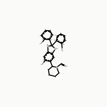 O=CN1CCCCC1c1cc2c(cc1F)OC(c1ccccc1F)(c1ccccc1F)O2